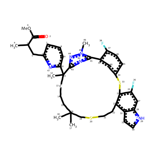 COC(=O)C(C)Cc1cccc(C2(C)CCCC(C)(C)CSCCc3c(c(F)cc4[nH]ccc34)Sc3ccc(F)c(c3)-c3nc2nn3C)n1